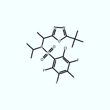 Cc1c(F)c(F)c(S(=O)(=O)N(C(C)C)C(C)c2nnc(C(C)(C)C)o2)c(Cl)c1F